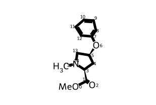 COC(=O)[C@@H]1C[C@H](Oc2ccccc2)CN1C